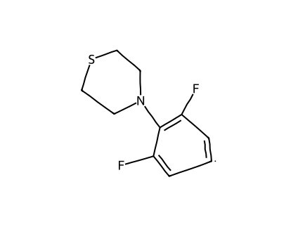 Fc1c[c]cc(F)c1N1CCSCC1